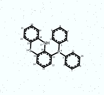 c1ccc(P(c2ccccc2)c2cccc3c2Nc2ccccc2S3)cc1